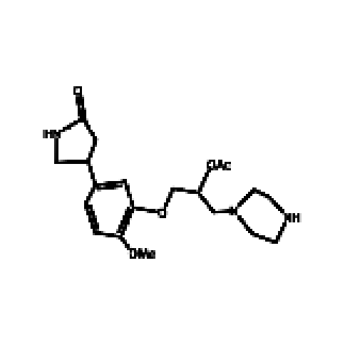 COc1ccc(C2CNC(=O)C2)cc1OCC(CN1CCNCC1)OC(C)=O